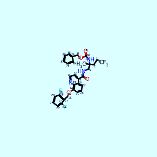 CC(CCC(F)(F)F)(CNC(=O)c1ccnc2c(OCc3c(F)cccc3F)cccc12)NC(=O)OCc1ccccc1